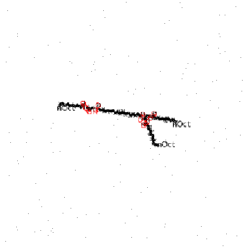 CCCCCCCC/C=C\CCCCCCCC(=O)OCC(O)COC(=O)CCCCCCCC=CCCCCCCCC(=O)OC(COC(=O)CCCCCCC/C=C\CCCCCCCC)COC(=O)CCCCCCC/C=C\CCCCCCCC